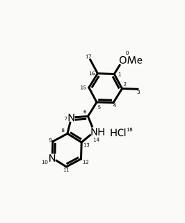 COc1c(C)cc(-c2nc3cnccc3[nH]2)cc1C.Cl